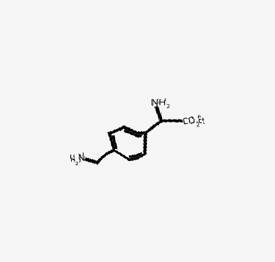 CCOC(=O)C(N)c1ccc(CN)cc1